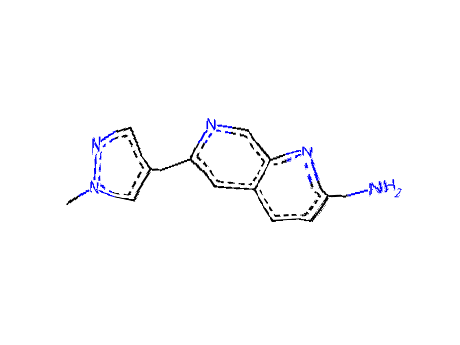 Cn1cc(-c2cc3ccc(N)nc3cn2)cn1